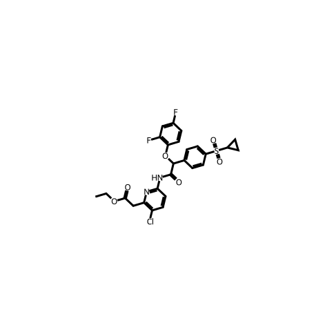 CCOC(=O)Cc1nc(NC(=O)C(Oc2ccc(F)cc2F)c2ccc(S(=O)(=O)C3CC3)cc2)ccc1Cl